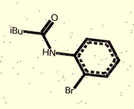 CCC(C)C(=O)Nc1ccccc1Br